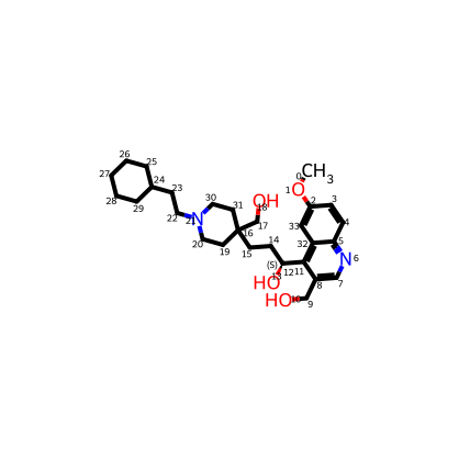 COc1ccc2ncc(CO)c([C@@H](O)CCC3(CO)CCN(CCC4CCCCC4)CC3)c2c1